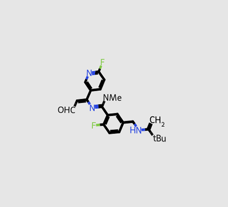 C=C(NCc1ccc(F)c(/C(=N/C(=C\C=O)c2ccc(F)nc2)NC)c1)C(C)(C)C